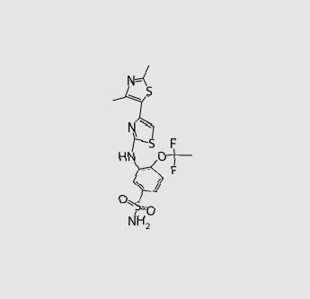 Cc1nc(C)c(-c2csc(Nc3cc(S(N)(=O)=O)ccc3OC(C)(F)F)n2)s1